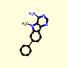 Cn1c2cc(-c3ccccc3)ccc2c2ncnc(N)c21